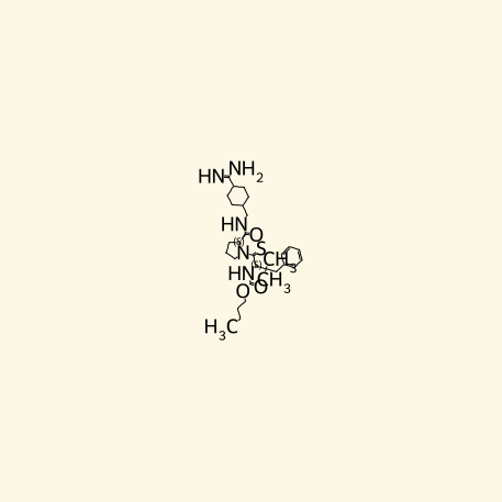 CCCCOC(=O)N[C@H](C(=S)N1CCC[C@H]1C(=O)NCC1CCC(C(=N)N)CC1)C(C)(C)Cc1ccccc1